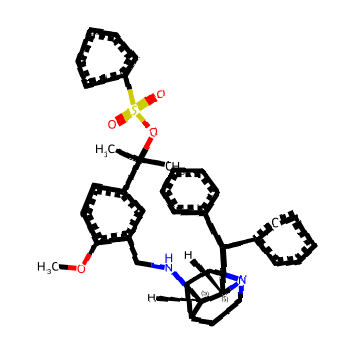 COc1ccc(C(C)(C)OS(=O)(=O)c2ccccc2)cc1CN[C@H]1C2CCN(CC2)[C@H]1C(c1ccccc1)c1ccccc1